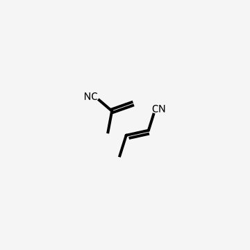 C/C=C/C#N.C=C(C)C#N